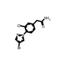 NC(=O)Cc1ccc(-n2cc(Br)cn2)c(Cl)c1